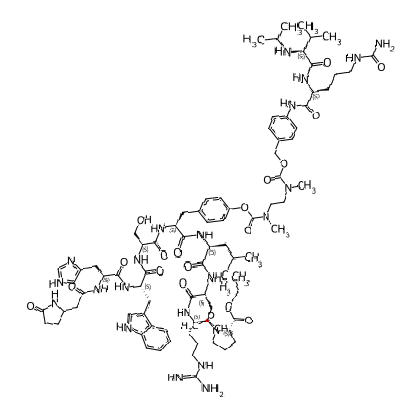 CCOC(=O)[C@@H]1CCCN1C(=O)[C@H](CCCNC(=N)N)NC(=O)[C@H](CC(C)C)NC(=O)[C@H](CC(C)C)NC(=O)[C@H](Cc1ccc(OC(=O)N(C)CCN(C)C(=O)OCc2ccc(NC(=O)[C@H](CCCNC(N)=O)NC(=O)[C@@H](NC(C)C)C(C)C)cc2)cc1)NC(=O)[C@H](CO)NC(=O)[C@H](Cc1c[nH]c2ccccc12)NC(=O)[C@H](Cc1c[nH]cn1)NC(=O)CC1CCC(=O)N1